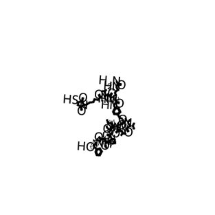 CC[C@H](C)[C@@H]([C@@H](CC(=O)N1CCC[C@H]1[C@H](OC)[C@@H](C)C(=O)N[C@H](C)[C@@H](O)c1ccccc1)OC)N(C)C(=O)[C@@H](NC(=O)[C@H](C(C)C)N(C)C(=O)OCc1ccc(NC(=O)[C@H](CCCNC(N)=O)NC(=O)C(NC(=O)CCCCCN2C(=O)CC(S)C2=O)C(C)C)cc1)C(C)C